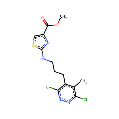 COC(=O)c1csc(NCCCc2c(Cl)nnc(Cl)c2C)n1